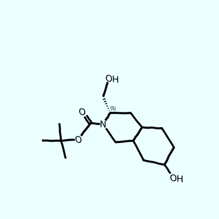 CC(C)(C)OC(=O)N1CC2CC(O)CCC2C[C@H]1CO